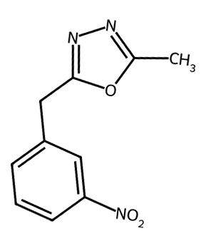 Cc1nnc(Cc2cccc([N+](=O)[O-])c2)o1